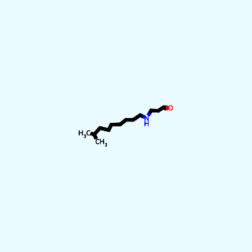 CC(C)CCCCCCCNCCC=O